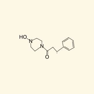 O=C(C[CH]c1ccccc1)N1CCN(O)CC1